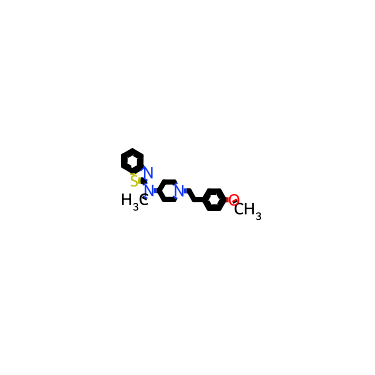 COc1ccc(CCN2CCC(N(C)c3nc4ccccc4s3)CC2)cc1